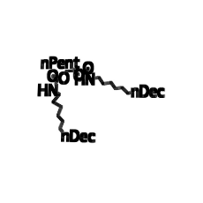 CCCCCCCCCCCCCCCCNC(=O)OCC(CCCCC)OC(=O)NCCCCCCCCCCCCCCCC